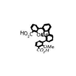 COc1c(C(=O)O)cccc1-c1cccc2c1oc1c(-c3cccc(C(=O)O)c3OC)cccc12